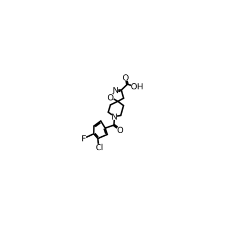 O=C(O)C1=NOC2(CCN(C(=O)c3ccc(F)c(Cl)c3)CC2)C1